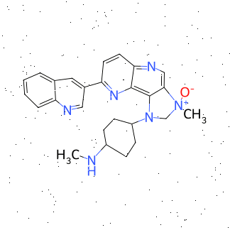 CNC1CCC(N2C[N+](C)([O-])c3cnc4ccc(-c5cnc6ccccc6c5)nc4c32)CC1